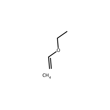 C.C=COCC